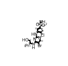 CC(C)[C@H](CO)Nc1nc(Nc2cc(S(N)(=O)=O)sc2Cl)ncc1Br